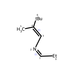 CC/C=N\C=C(/C)C(C)(C)C